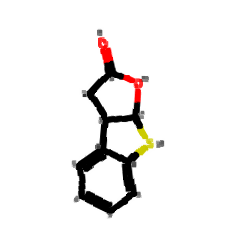 O=C1CC2c3ccccc3SC2O1